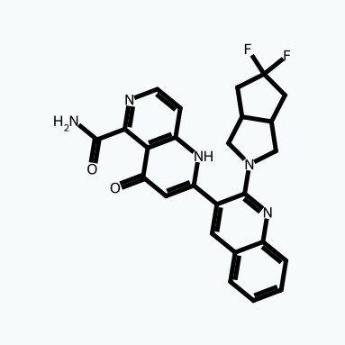 NC(=O)c1nccc2[nH]c(-c3cc4ccccc4nc3N3CC4CC(F)(F)CC4C3)cc(=O)c12